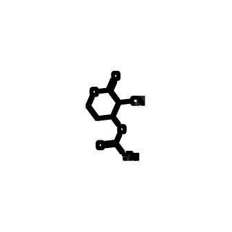 CC(C)(C)C(=O)OC1CCOC(=O)C1C#N